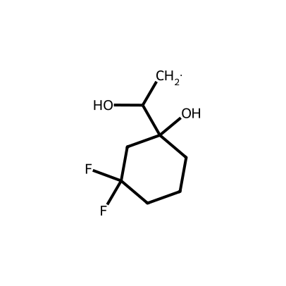 [CH2]C(O)C1(O)CCCC(F)(F)C1